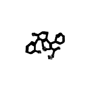 NC(=O)c1sc2c(ccc(=O)n2-c2ccccc2Cl)c1-c1ccccc1